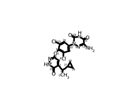 CC(c1cc(Oc2c(Cl)cc(-n3nc(N)c(=O)[nH]c3=O)cc2Cl)n[nH]c1=O)C1CC1